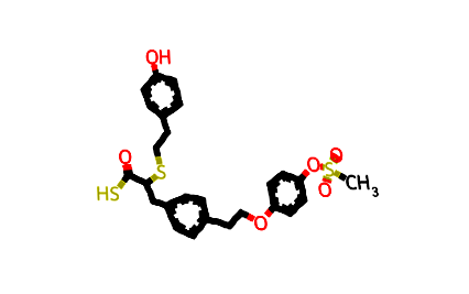 CS(=O)(=O)Oc1ccc(OCCc2ccc(CC(SCCc3ccc(O)cc3)C(=O)S)cc2)cc1